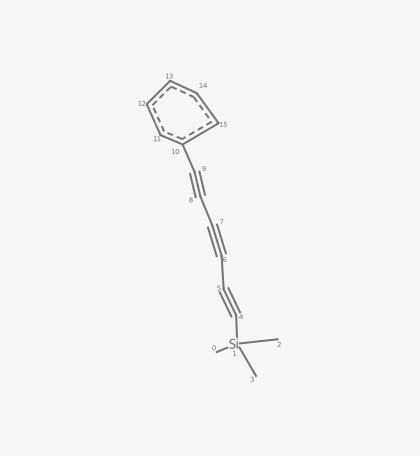 C[Si](C)(C)C#CC#CC#Cc1ccccc1